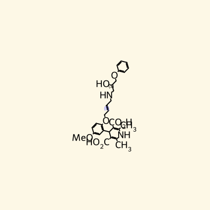 COc1ccc(OC/C=C/CNC[C@H](O)COc2ccccc2)c(C2C(C(=O)O)=C(C)NC(C)=C2C(=O)O)c1